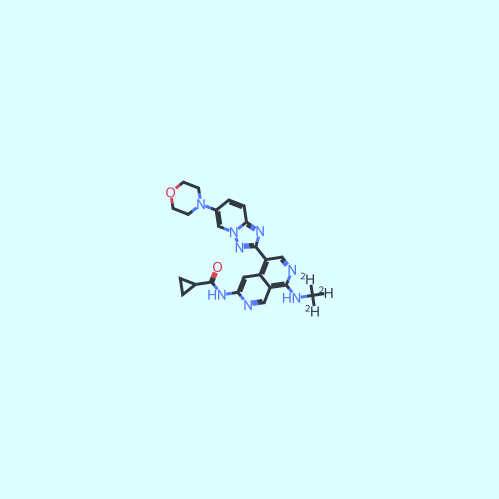 [2H]C([2H])([2H])Nc1ncc(-c2nc3ccc(N4CCOCC4)cn3n2)c2cc(NC(=O)C3CC3)ncc12